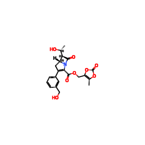 Cc1oc(=O)oc1COC(=O)C1=C(c2cccc(CO)c2)C[C@@H]2[C@@H]([C@@H](C)O)C(=O)N12